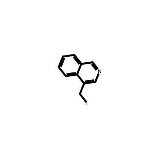 ICc1cncc2ccccc12